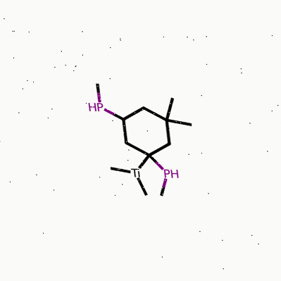 CPC1CC(C)(C)C[C](PC)([Ti]([CH3])[CH3])C1